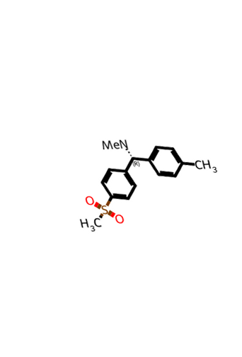 CN[C@H](c1ccc(C)cc1)c1ccc(S(C)(=O)=O)cc1